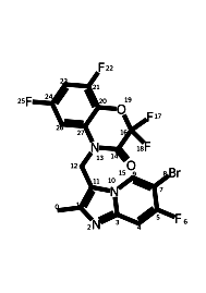 Cc1nc2cc(F)c(Br)cn2c1CN1C(=O)C(F)(F)Oc2c(F)cc(F)cc21